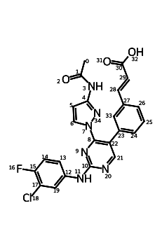 CC(=O)Nc1ccn(-c2nc(Nc3ccc(F)c(Cl)c3)ncc2-c2cccc(C=CC(=O)O)c2)n1